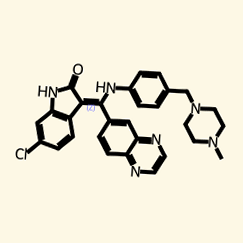 CN1CCN(Cc2ccc(N/C(=C3\C(=O)Nc4cc(Cl)ccc43)c3ccc4nccnc4c3)cc2)CC1